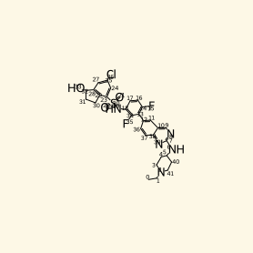 CCN1CCC(Nc2ncc3cc(-c4c(F)ccc(NS(=O)(=O)c5cc(Cl)cc6c5CCC6O)c4F)ccc3n2)CC1